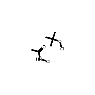 CC(=O)NCl.CC(C)(C)OCl